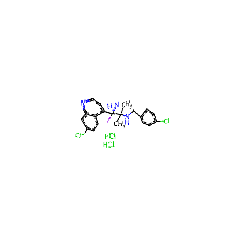 CC(C)(NCc1ccc(Cl)cc1)C(N)(I)c1ccnc2cc(Cl)ccc12.Cl.Cl